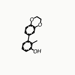 Cc1c(O)cccc1-c1ccc2c(c1)OCCO2